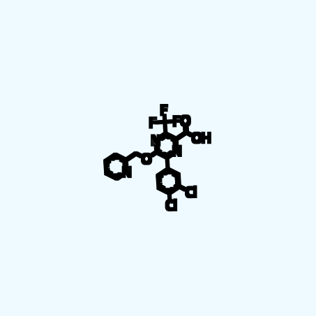 O=C(O)c1nc(-c2ccc(Cl)c(Cl)c2)c(OCc2ccccn2)nc1C(F)(F)F